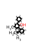 Cc1cc(-c2ccccc2)c(O)c(-c2ccccc2C(C)(C)C)c1